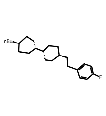 CCCC[C@H]1CC[C@H]([C@H]2CC[C@H](CCc3ccc(F)cc3)CC2)CC1